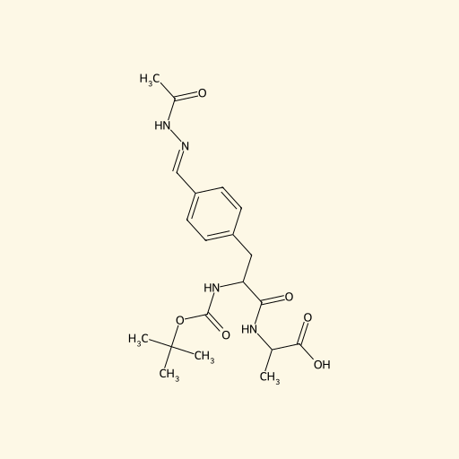 CC(=O)N/N=C/c1ccc(CC(NC(=O)OC(C)(C)C)C(=O)NC(C)C(=O)O)cc1